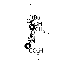 Cc1c(OCc2nnc(-c3cccc(C(=O)O)c3)s2)ccc(C(=O)CC(C)(C)C)c1O